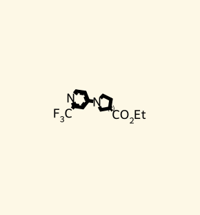 CCOC(=O)[C@@H]1CCN(c2ccnc(C(F)(F)F)c2)C1